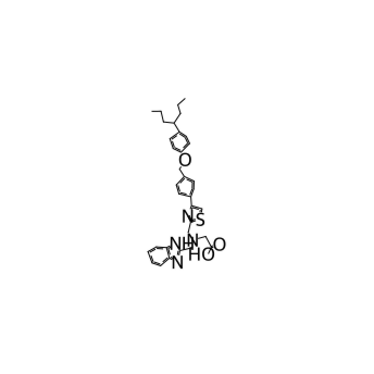 CCCC(CCC)c1ccc(OCc2ccc(-c3csc(CN(CC(=O)O)Cc4nc5ccccc5[nH]4)n3)cc2)cc1